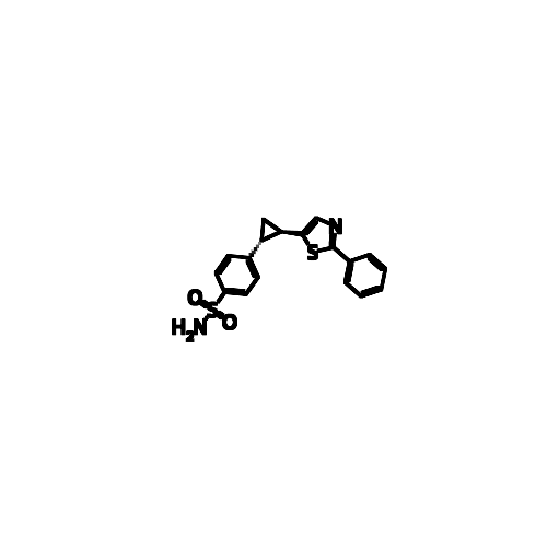 NS(=O)(=O)c1ccc([C@@H]2C[C@H]2c2cnc(-c3ccccc3)s2)cc1